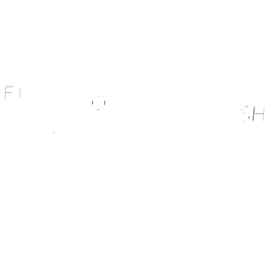 CCC(C)(C)OCCS